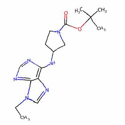 CCn1cnc2c(NC3CCN(C(=O)OC(C)(C)C)C3)ncnc21